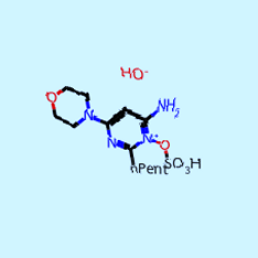 CCCCCc1nc(N2CCOCC2)cc(N)[n+]1OS(=O)(=O)O.[OH-]